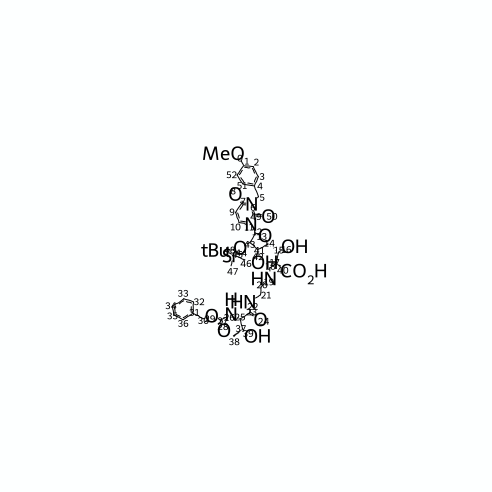 COc1ccc(Cn2c(=O)ccn([C@@H]3O[C@H](C(O)[C@H](CNCCNC(=O)[C@@H](NC(=O)OCc4ccccc4)[C@H](C)O)C(=O)O)[C@@H](O)[C@H]3O[Si](C)(C)C(C)(C)C)c2=O)cc1